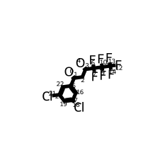 O=C(CC(=O)C(F)(F)C(F)(F)C(F)(F)F)c1cc(Cl)cc(Cl)c1